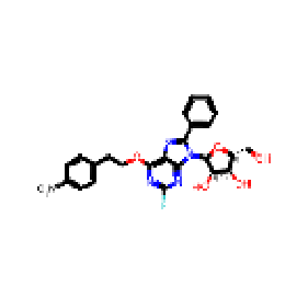 O=[N+]([O-])c1ccc(CCOc2nc(F)nc3c2nc(-c2ccccc2)n3C2O[C@H](CO)[C@@H](O)[C@H]2O)cc1